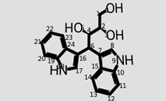 OC[C@@H](O)[C@H](O)C(c1c[nH]c2ccccc12)c1c[nH]c2ccccc12